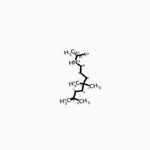 C=C(C)CCC(C)(C)CCCN[C@@H](C)I